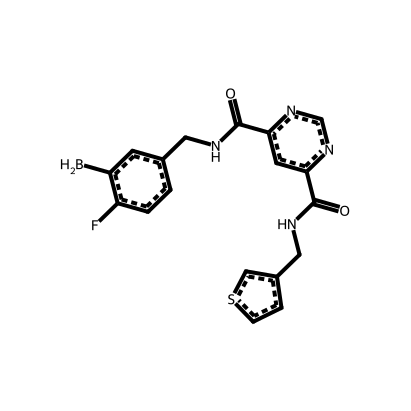 Bc1cc(CNC(=O)c2cc(C(=O)NCc3ccsc3)ncn2)ccc1F